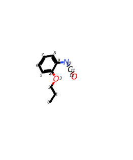 CCCOc1ccccc1N=C=O